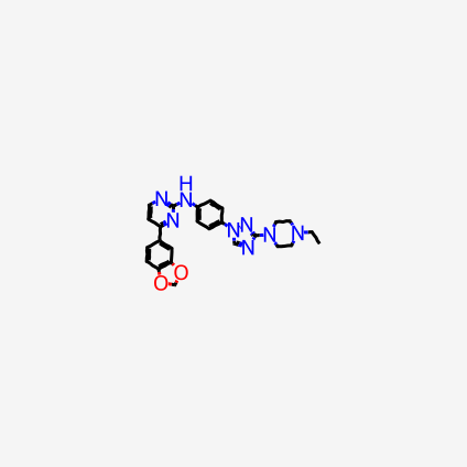 CCN1CCN(c2ncn(-c3ccc(Nc4nccc(-c5ccc6c(c5)OCO6)n4)cc3)n2)CC1